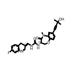 CN1C(=O)[C@@H](NC(=O)N/C=C(\C=N)Cc2ccc(F)cc2)COc2ccc(C#CC(C)(C)O)cc21